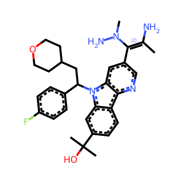 C/C(N)=C(\c1cnc2c3ccc(C(C)(C)O)cc3n(C(CC3CCOCC3)c3ccc(F)cc3)c2c1)N(C)N